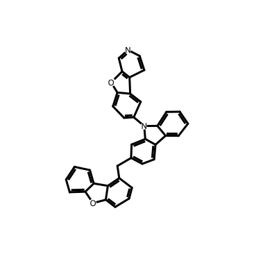 c1ccc2c(c1)oc1cccc(Cc3ccc4c5ccccc5n(-c5ccc6oc7cnccc7c6c5)c4c3)c12